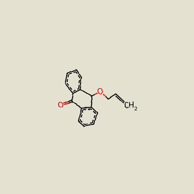 C=CCOC1c2ccccc2C(=O)c2ccccc21